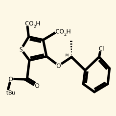 C[C@@H](Oc1c(C(=O)OC(C)(C)C)sc(C(=O)O)c1C(=O)O)c1ccccc1Cl